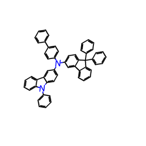 c1ccc(-c2ccc(N(c3ccc4c(c3)-c3ccccc3C4(c3ccccc3)c3ccccc3)c3ccc4c(c3)c3ccccc3n4-c3ccccc3)cc2)cc1